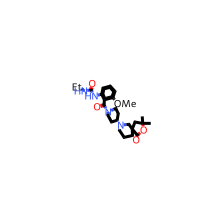 CCNC(=O)Nc1cccc(OC)c1C(=O)N1CCC(N2CCCC3(C2)CC(C)(C)OC3=O)CC1